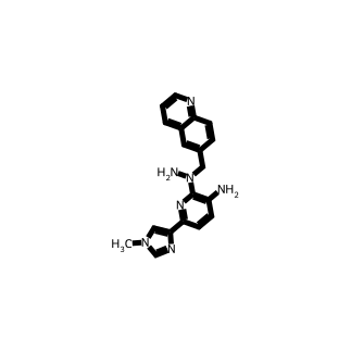 Cn1cnc(-c2ccc(N)c(N(N)Cc3ccc4ncccc4c3)n2)c1